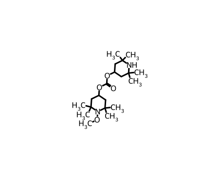 CON1C(C)(C)CC(OC(=O)OC2CC(C)(C)NC(C)(C)C2)CC1(C)C